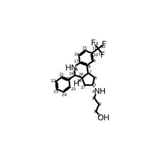 OCCCN[C@H]1CC2c3cc(C(F)(F)F)ccc3NC(c3ccccc3)[C@@H]2C1